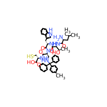 Cc1ccc(C(NC[C@H](NC(=O)[C@H](Cc2c[nH]c3ccccc23)NC(=O)[C@@H](NC(=O)[C@@H](N)CC(C)C)[C@@H](C)O)C(=O)N[C@@H](CS)C(=O)O)(c2ccccc2)c2ccccc2)cc1